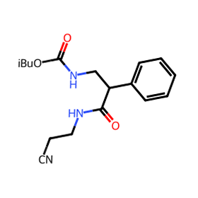 CC(C)COC(=O)NCC(C(=O)NCCC#N)c1ccccc1